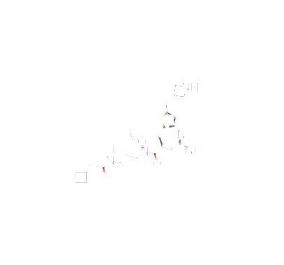 CCON(CCCNC(=O)OC1CCC1)C(=O)C1=Cc2sc(CC3CNC3)cc2N=C(N)C1